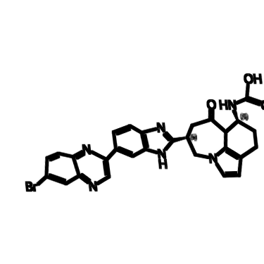 O=C(O)N[C@H]1CCc2ccn3c2C1C(=O)C[C@H](c1nc2ccc(-c4cnc5cc(Br)ccc5n4)cc2[nH]1)C3